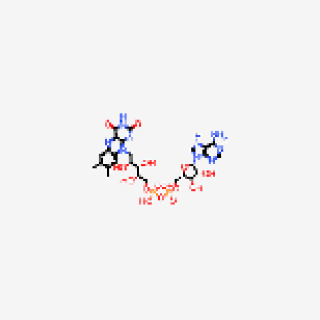 Cc1cc2nc3c(=O)[nH]c(=O)nc-3n(C[C@H](O)[C@H](O)[C@H](O)COP(=O)(O)OP(=O)(O)OC[C@H]3O[C@@H]([n+]4c[nH]c5c(N)ncnc54)[C@H](O)[C@@H]3O)c2cc1C